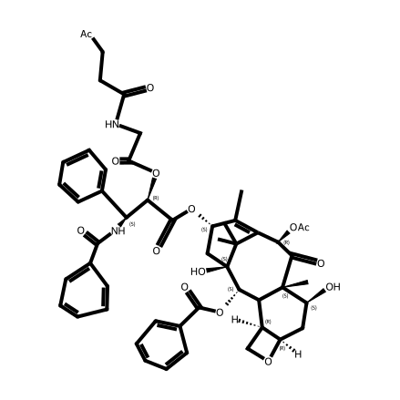 CC(=O)CCC(=O)NCC(=O)O[C@@H](C(=O)O[C@H]1C[C@@]2(O)[C@@H](OC(=O)c3ccccc3)C3[C@@H]4CO[C@@H]4C[C@H](O)[C@@]3(C)C(=O)[C@H](OC(C)=O)C(=C1C)C2(C)C)[C@@H](NC(=O)c1ccccc1)c1ccccc1